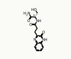 NC(=O)[C@H](CO)NC(=O)CCc1nc2ccccc2[nH]c1=O